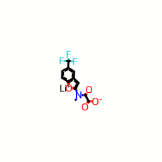 CN(C(=O)C(=O)[O-])c1cc2cc(C(F)(F)F)ccc2o1.[Li+]